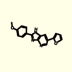 COc1ccc(-c2nc3ncc(-c4ccco4)cc3[nH]2)cc1